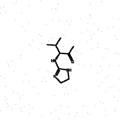 CC(=O)[C@@H](NC1=NCCN1)C(C)C